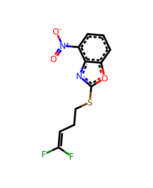 O=[N+]([O-])c1cccc2oc(SCCC=C(F)F)nc12